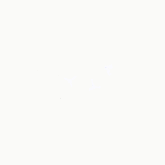 Cc1cc(Cl)ccc1N1CCN(c2ccc(C)c3cccnc23)CC1